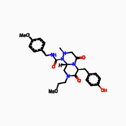 COCCN1C[C@H]2N(C(=O)CN(C)N2C(=O)NCc2ccc(OC)cc2)[C@@H](Cc2ccc(O)cc2)C1=O